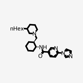 CCCCCCC1CCCN(C[C@@H]2CCCC[C@H]2NC(=O)c2ccc(-n3ccnc3)nc2)C1